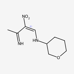 CC(=N)/C(=C\NC1CCCOC1)[N+](=O)[O-]